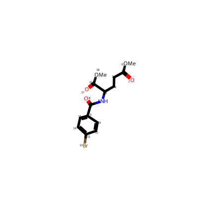 COC(=O)CCC(NC(=O)c1ccc(Br)cc1)C(=O)OC